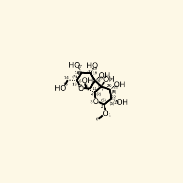 CO[C@H]1O[C@H](CO)[C@](O)([C@@]2(O)CO[C@H](CO)[C@H](O)[C@@H]2O)[C@H](O)[C@@H]1O